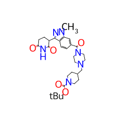 Cn1nc(C2CCC(=O)NC2=O)c2ccc(C(=O)N3CCN(CC4CCN(C(=O)OC(C)(C)C)CC4)CC3)cc21